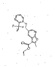 CCOC(=O)c1c(C)oc2ccc(COc3cccnc3C(F)(F)F)cc12